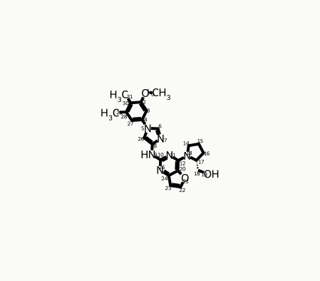 COc1cc(-n2cnc(Nc3nc(N4CCC[C@@H]4CO)c4occc4n3)c2)cc(C)c1C